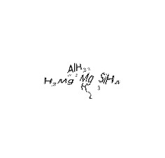 [AlH3].[MgH2].[MgH2].[SiH4]